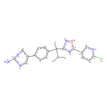 CC(C)C(C)(c1ccc(-c2cnc(N)nc2)cc1)c1noc(-c2ccc(Cl)nc2)n1